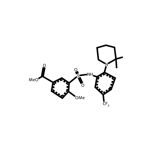 COC(=O)c1ccc(OC)c(S(=O)(=O)Nc2cc(C(F)(F)F)ccc2N2CCCCC2(C)C)c1